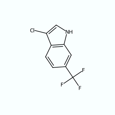 FC(F)(F)c1ccc2c(Cl)c[nH]c2c1